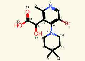 Cc1ncc(Br)c(N2CCC(C)(C)CC2)c1C(O)C(=O)O